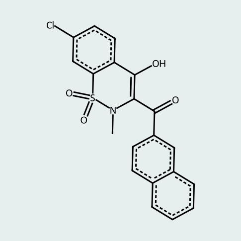 CN1C(C(=O)c2ccc3ccccc3c2)=C(O)c2ccc(Cl)cc2S1(=O)=O